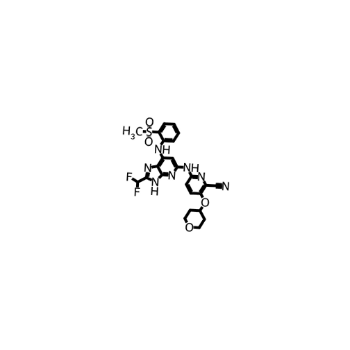 CS(=O)(=O)c1ccccc1Nc1cc(Nc2ccc(OC3CCOCC3)c(C#N)n2)nc2[nH]c(C(F)F)nc12